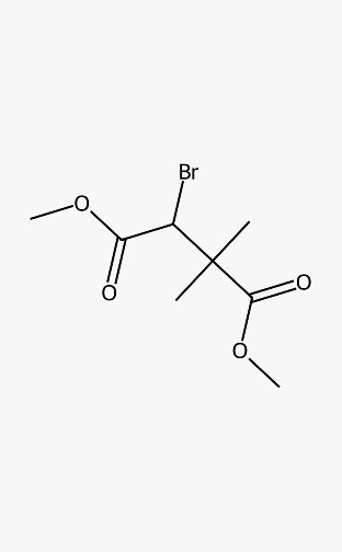 COC(=O)C(Br)C(C)(C)C(=O)OC